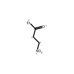 CCC(=O)CC[N+](=O)[O-]